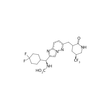 O=C(O)N[C@H](c1cn2nc(CC3C[C@H](C(F)(F)F)CNC3=O)ccc2n1)C1CCC(F)(F)CC1